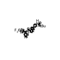 CC(C)(C)OC(=O)NC1CCN(c2ccc3c(C(=O)NCC(c4cnc(C(F)(F)F)nc4)N4CCC(F)(F)CC4)cccc3n2)CC1